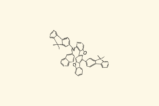 CC1(C)c2ccccc2-c2ccc(-c3c4oc5cccc(N(c6ccc7c(c6)C(C)(C)c6ccccc6-7)c6ccc7ccccc7c6)c5c4cc4oc5ccccc5c34)cc21